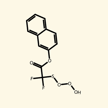 O=C(Oc1ccc2ccccc2c1)C(F)(F)SOOO